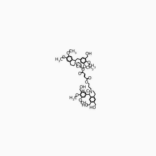 COc1cc2c(cc1OC)C(Cc1cc(CO)c(OC)c(OC)c1)[N+](C)(CCCOC(=O)/C=C/C(=O)OCCC[N+]1(C)CCc3cc(CO)c(CO)cc3C1c1cc(CO)c(OC)c(OC)c1)CC2